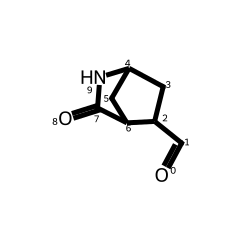 O=CC1CC2CC1C(=O)N2